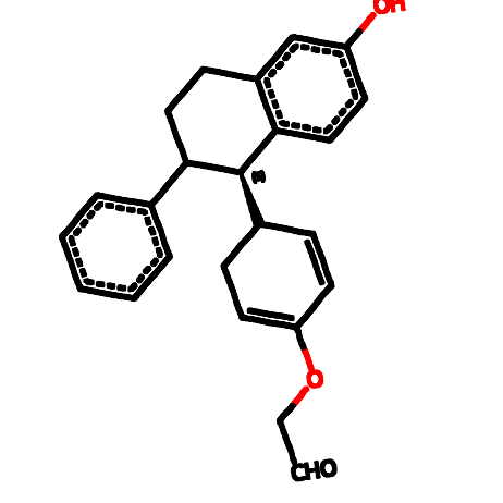 O=CCOC1=CCC([C@@H]2c3ccc(O)cc3CCC2c2ccccc2)C=C1